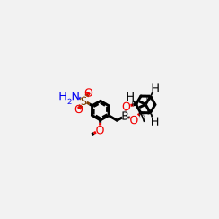 COc1cc(S(N)(=O)=O)ccc1CB1O[C@@H]2C[C@@H]3C[C@@H](C3(C)C)[C@]2(C)O1